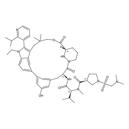 CCn1c(-c2cccnc2C(C)C)c2c3cc(ccc31)-c1cc(O)cc(c1)C[C@H](NC(=O)[C@H](C(C)C)N(C)C(=O)[C@H]1CCN(S(=O)(=O)CN(C)C)C1)C(=O)N1CCC[C@H](N1)C(=O)OCC(C)(C)C2